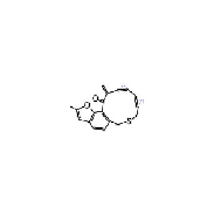 C=C1/C=C\C=C/CSCc2ccc3cc(C)oc3c2C1=O